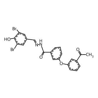 CC(=O)c1cccc(Oc2cccc(C(=O)N/N=C/c3cc(Br)c(O)c(Br)c3)c2)c1